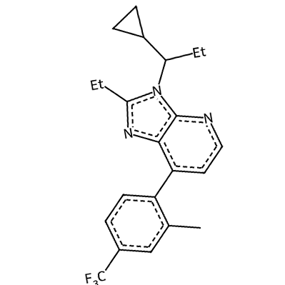 CCc1nc2c(-c3ccc(C(F)(F)F)cc3C)ccnc2n1C(CC)C1CC1